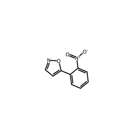 O=[N+]([O-])c1ccccc1-c1ccno1